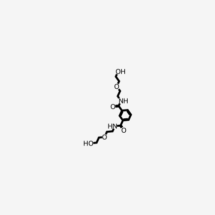 O=C(NCCOCCO)c1cccc(C(=O)NCCOCCO)c1